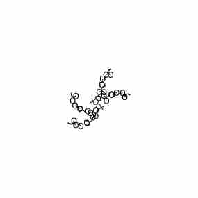 C=CC(=O)OCOc1ccc(COOc2cc3c(cc2OOCc2ccc(OCOC(=O)C=C)cc2)C2(CC3(C)C)CC(C)(C)c3cc(OC(=O)c4ccc(OCOC(=O)C=C)cc4)c(OC(=O)c4ccc(OCOC(=O)C=C)cc4)cc32)cc1